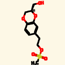 CS(=O)(=O)OCCc1ccc2c(c1)O[C@H](CO)CO2